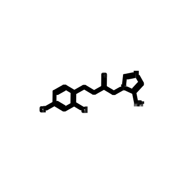 CCCc1cncn1CC(=O)CCc1ccc(Cl)cc1Cl